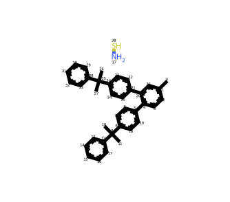 Cc1ccc(-c2ccc(C(C)(C)c3ccccc3)cc2)c(-c2ccc(C(C)(C)c3ccccc3)cc2)c1.NS